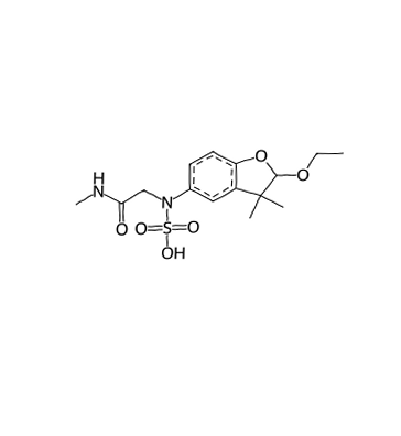 CCOC1Oc2ccc(N(CC(=O)NC)S(=O)(=O)O)cc2C1(C)C